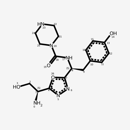 N[C@@H](CO)c1nnc([C@H](Cc2ccc(O)cc2)NC(=O)N2CCNCC2)o1